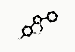 CC(=O)c1ccc(-c2ccc(-c3ccccc3)n2CC(=O)O)cc1